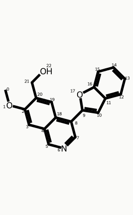 COc1cc2cncc(-c3cc4ccccc4o3)c2cc1CO